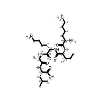 CC[C@H](C)[C@H](NC(=O)[C@@H](N)CCCCN)C(=O)N[C@@H](CCCCN)C(=O)N[C@@H](C)C(=O)N[C@@H](CC(C)C)C(=O)O